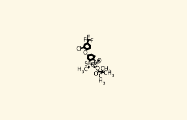 CCP(=S)(OCOC(=O)C(C)(C)C)c1cc(Oc2ccc(C(F)(F)F)cc2Cl)ccc1[N+](=O)[O-]